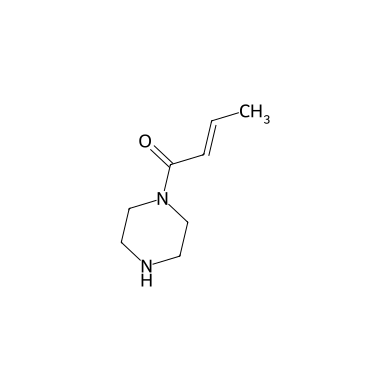 CC=CC(=O)N1CCNCC1